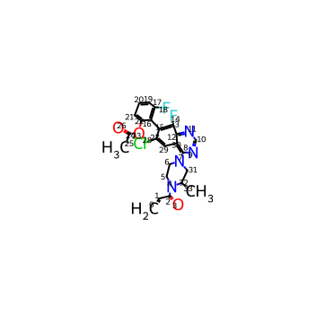 C=CC(=O)N1CCN(c2ncnc3c(F)c(-c4c(F)cccc4OC(C)=O)c(Cl)cc23)CC1C